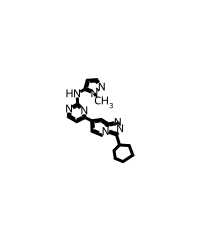 Cn1nccc1Nc1nccc(-c2ccn3c(C4CCCCC4)nnc3c2)n1